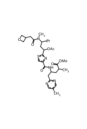 COC(=O)C(C)CC(Cc1ncc(C)cn1)NC(=O)c1csc(C(CC(C(C)C)N(C)C(=O)CC2COC2)OC(C)=O)n1